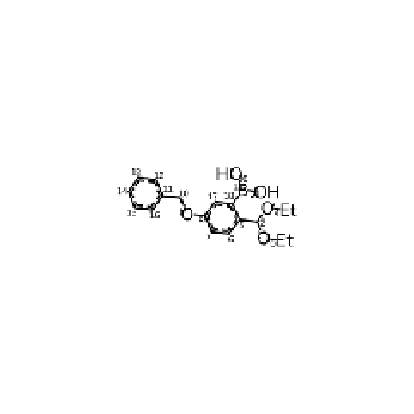 CCOC(OCC)c1ccc(OCc2ccccc2)cc1B(O)O